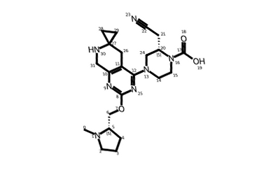 CN1CCC[C@H]1COc1nc2c(c(N3CCN(C(=O)O)[C@@H](CC#N)C3)n1)CC1(CC1)NC2